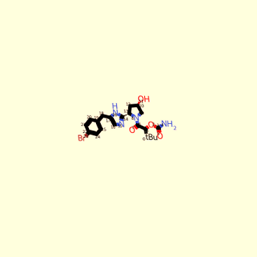 CC(C)(C)C(OC(N)=O)C(=O)N1C[C@H](O)C[C@H]1c1ncc(Cc2ccc(Br)cc2)[nH]1